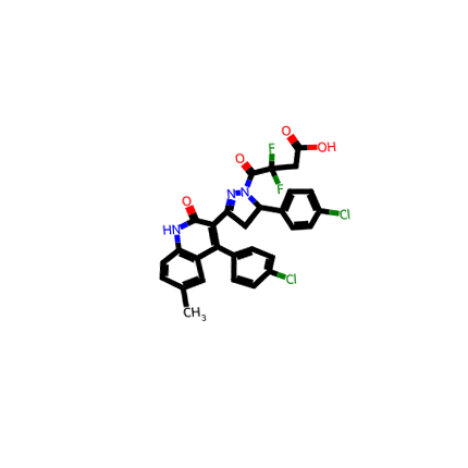 Cc1ccc2[nH]c(=O)c(C3=NN(C(=O)C(F)(F)CC(=O)O)C(c4ccc(Cl)cc4)C3)c(-c3ccc(Cl)cc3)c2c1